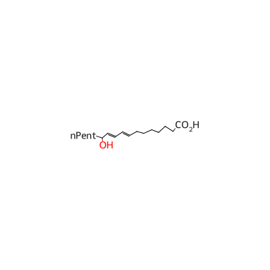 CCCCCC(O)C=C/C=C/CCCCCCC(=O)O